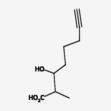 C#CCCCC(O)C(C)C(=O)O